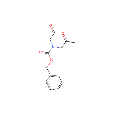 CC(=O)CN(CC=O)C(=O)OCc1ccccc1